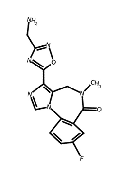 CN1Cc2c(-c3nc(CN)no3)ncn2-c2ccc(F)cc2C1=O